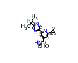 CC(C)(F)c1ncc(-c2cc(CNC=O)cc(C3CC3)n2)cn1